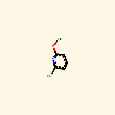 CC(C)(C)Oc1cccc(C#N)n1